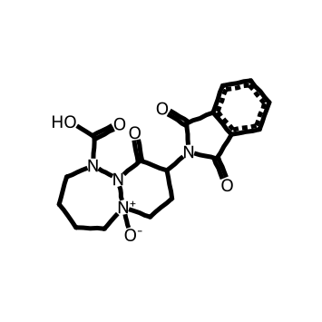 O=C1c2ccccc2C(=O)N1C1CC[N+]2([O-])CCCCN(C(=O)O)N2C1=O